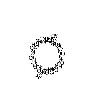 CC(C)[C@H]1C(=O)NC[C@@H](NC(=O)OC(C)(C)C)C(=O)N2CCCC[C@H]2C(=O)NCC(=O)N(C)CC(=O)N(C)[C@@H](C(C)C)C(=O)NC[C@@H](NC(=O)OC(C)(C)C)C(=O)N2CCCC[C@H]2C(=O)NCC(=O)N(C)CC(=O)N1C